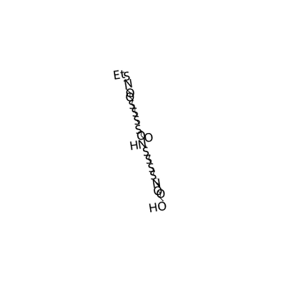 CCSC/N=C/OOCSCSCSCSCOC(=O)NCSCSCSCSC/N=C/OOCCO